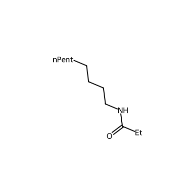 CCCCCCCCCNC(=O)CC